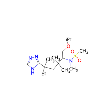 CCC(C)(CC(C)(C)C(COC(C)C)N(C)S(C)(=O)=O)c1nnc[nH]1